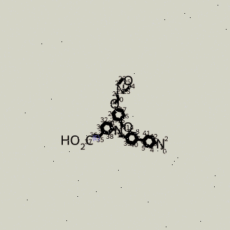 CN(C)c1ccc(-c2ccc(CN(C(=O)c3ccc(OCCN4CCOCC4)cc3)c3cccc(/C=C/C(=O)O)c3)cc2)cc1